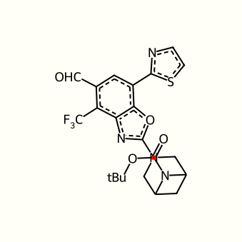 CC(C)(C)OC(=O)N1C2CC1CN(c1nc3c(C(F)(F)F)c(C=O)cc(-c4nccs4)c3o1)C2